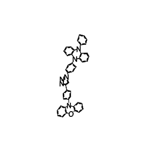 c1ccc(N2c3ccccc3N(c3ccc(-n4cc(-c5ccc(N6c7ccccc7Oc7ccccc76)cc5)nn4)cc3)c3ccccc32)cc1